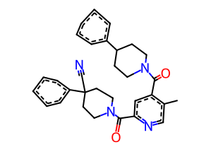 Cc1cnc(C(=O)N2CCC(C#N)(c3ccccc3)CC2)cc1C(=O)N1CCC(c2ccccc2)CC1